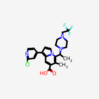 Cc1c(C(=O)O)cc2c(-c3ccnc(Cl)c3)ccn2c1C(C)N1CCN(CC(F)(F)F)CC1